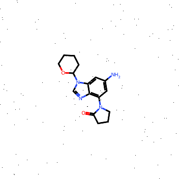 Nc1cc(N2CCCC2=O)c2ncn(C3CCCCO3)c2c1